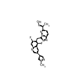 CC(=NO)c1ccc2nnc(Cc3c(F)cc4ncc(-c5cnn(C)c5)cc4c3F)n2n1